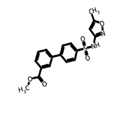 COC(=O)c1cccc(-c2ccc(S(=O)(=O)Nc3cc(C)on3)cc2)c1